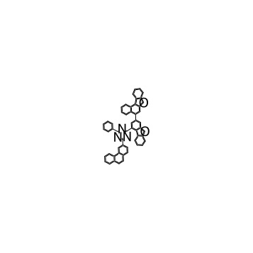 c1ccc(-c2nc(-c3ccc4ccc5ccccc5c4c3)nc(-c3cc(-c4cc5oc6ccccc6c5c5ccccc45)cc4oc5ccccc5c34)n2)cc1